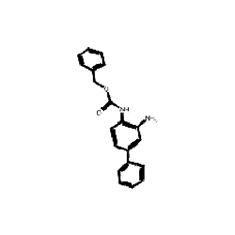 Nc1cc(-c2ccccc2)ccc1NC(=O)OCc1ccccc1